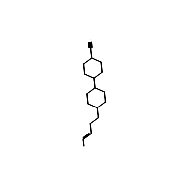 N#CC1CCC(C2CCC(CCC=CF)CC2)CC1